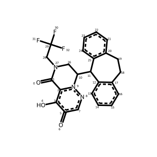 O=C1c2c(O)c(=O)cnn2C(C2c3ccccc3CCc3ccccc32)CN1CC(F)(F)F